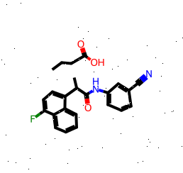 CC(C(=O)Nc1cccc(C#N)c1)c1ccc(F)c2ccccc12.CCCC(=O)O